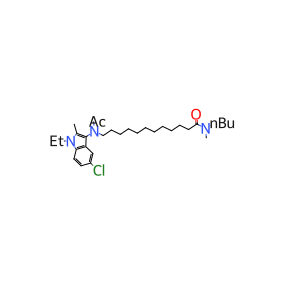 CCCCN(C)C(=O)CCCCCCCCCCCN(C(C)=O)c1c(C)n(CC)c2ccc(Cl)cc12